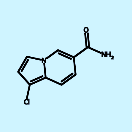 NC(=O)c1ccc2c(Cl)ccn2c1